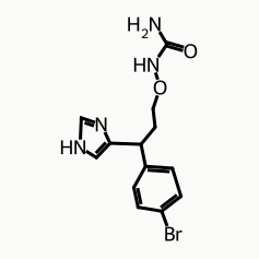 NC(=O)NOCCC(c1ccc(Br)cc1)c1c[nH]cn1